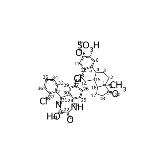 C[C@]12CCC3c4ccc(OS(=O)(=O)O)cc4CCC3C1CCC2=O.O=C1Nc2ccc(Cl)cc2C(c2ccccc2Cl)=NC1O